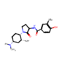 CCC[C@@H]1C[C@H](N(C)C(C)C)CC[C@@H]1N1CCC(NC(=O)c2ccc(O)c(C(C)(C)C)c2)C1=O